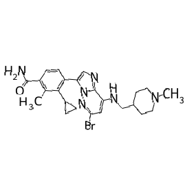 Cc1c(C(N)=O)ccc(-c2cnc3c(NCC4CCN(C)CC4)cc(Br)nn23)c1C1CC1